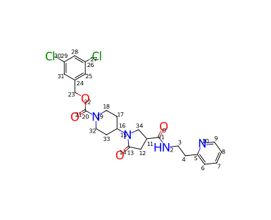 O=C(NCCc1ccccn1)C1CC(=O)N(C2CCN(C(=O)OCc3cc(Cl)cc(Cl)c3)CC2)C1